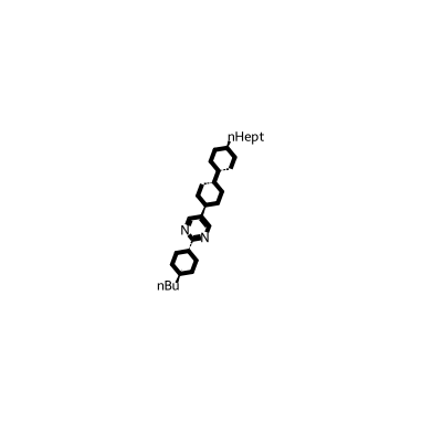 CCCCCCC[C@H]1CC[C@H]([C@H]2CC[C@H](c3cnc([C@H]4CC[C@H](CCCC)CC4)nc3)CC2)CC1